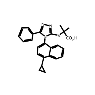 CC(C)(Sc1nnc(-c2ccccc2)n1-c1ccc(C2CC2)c2ccccc12)C(=O)O